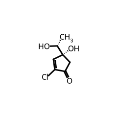 C[C@@H](O)[C@]1(O)C=C(Cl)C(=O)C1